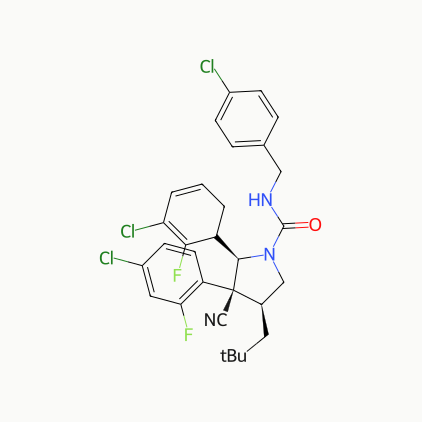 CC(C)(C)C[C@@H]1CN(C(=O)NCc2ccc(Cl)cc2)[C@H](C2CC=CC(Cl)=C2F)[C@@]1(C#N)c1ccc(Cl)cc1F